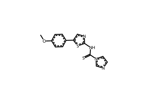 COc1ccc(-c2cnc(NC(=S)n3ccnc3)s2)cc1